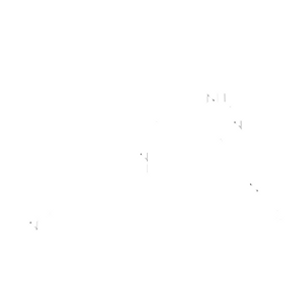 C/C=C\C(=C/N(C)C=O)C(=N)c1cc(NC2CCCc3cc(C#N)ccc32)ccc1N